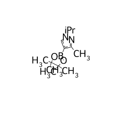 Cc1nn(C(C)C)cc1B1OC(C)(C)C(C)(C)O1